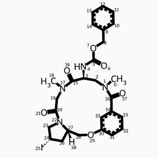 CN1C[C@H](NC(=O)OCc2ccccc2)C(=O)N(C)CC(=O)N2C[C@@H](I)C[C@H]2COc2cccc(c2)C1=O